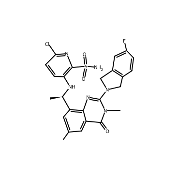 Cc1cc([C@@H](C)Nc2ccc(Cl)nc2S(N)(=O)=O)c2nc(N3Cc4ccc(F)cc4C3)n(C)c(=O)c2c1